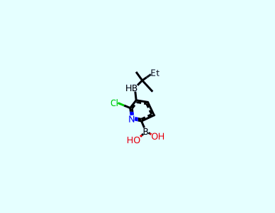 CCC(C)(C)Bc1ccc(B(O)O)nc1Cl